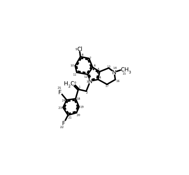 C=C(Cn1c2c(c3cc(Cl)ccc31)CN(C)CC2)c1ccc(F)cc1F